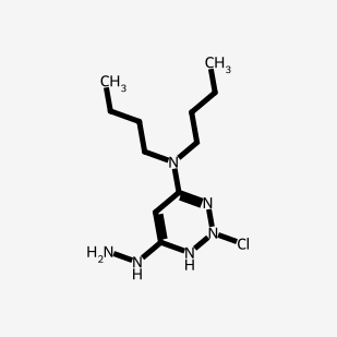 CCCCN(CCCC)C1=NN(Cl)NC(NN)=C1